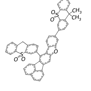 CC1(C)c2ccccc2S(=O)(=O)c2cc(-c3ccc4c(c3)oc3cc5c(c(-c6ccc7c(c6)S(=O)(=O)c6ccccc6C7)c34)-c3cccc4cccc-5c34)ccc21